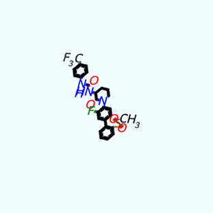 CS(=O)(=O)c1ccccc1-c1ccc(N2CCCC(NC(=O)Nc3ccc(C(F)(F)F)cc3)C2=O)c(F)c1